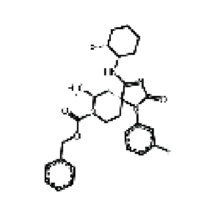 C[C@H]1C[C@]2(CCN1C(=O)OCc1ccccc1)C(N[C@@H]1CCCC[C@H]1F)=NC(=O)N2c1cccc(F)c1